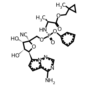 C[C@H](N[P@](=O)(OC[C@@]1(C#N)O[C@@H](c2ccc3c(N)ncnn23)[C@H](O)[C@@H]1O)Oc1ccccc1)C(=O)OCC1(C)CC1